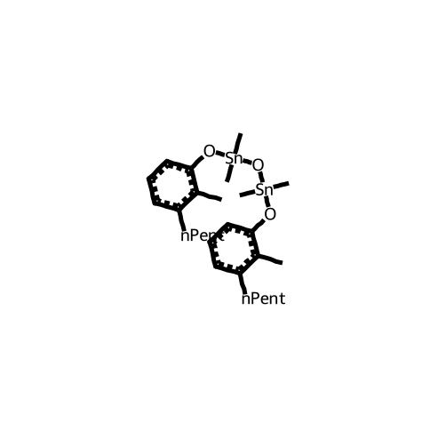 CCCCCc1cccc([O][Sn]([CH3])([CH3])[O][Sn]([CH3])([CH3])[O]c2cccc(CCCCC)c2C)c1C